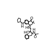 CC(=O)N[C@@H](Cc1ccccc1)[C@H](O)CN[C@H]1CC(C)(C)C(=O)c2ccc(NC3CCCC3)cc21